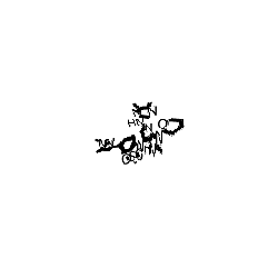 Cc1ncc(Nc2cc(Nc3ccc(-c4cc(C)n(C)n4)cc3S(C)(=O)=O)c3nc(C)n(C4CCCCO4)c3n2)nc1C